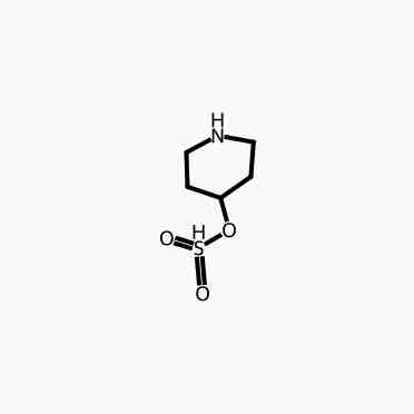 O=[SH](=O)OC1CCNCC1